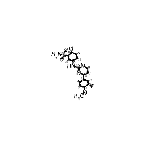 COc1ccc(-c2ccnc(Nc3ccc(Cl)c(S(N)(=O)=O)c3)n2)cc1F